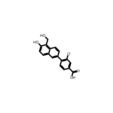 O=C(O)c1ccc(-c2ccc3c(CO)c(O)ccc3c2)c(Cl)c1